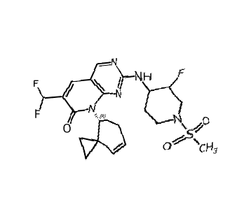 CS(=O)(=O)N1CCC(Nc2ncc3cc(C(F)F)c(=O)n([C@@H]4CC=CC45CC5)c3n2)C(F)C1